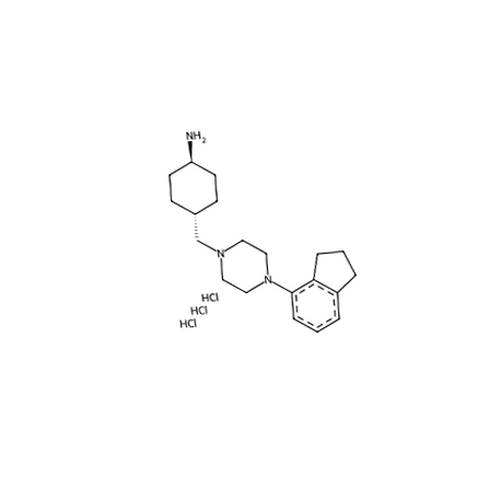 Cl.Cl.Cl.N[C@H]1CC[C@H](CN2CCN(c3cccc4c3CCC4)CC2)CC1